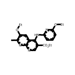 CCOC(=O)c1cnc2nc(C)c(OCC)cc2c1Nc1cccc(OCC)n1